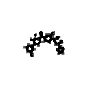 CC1[C@H](C)N(C(=O)c2ccc([S+]([O-])CC(=O)c3ncco3)c(Cl)c2)CCN1c1cccc(Cl)c1